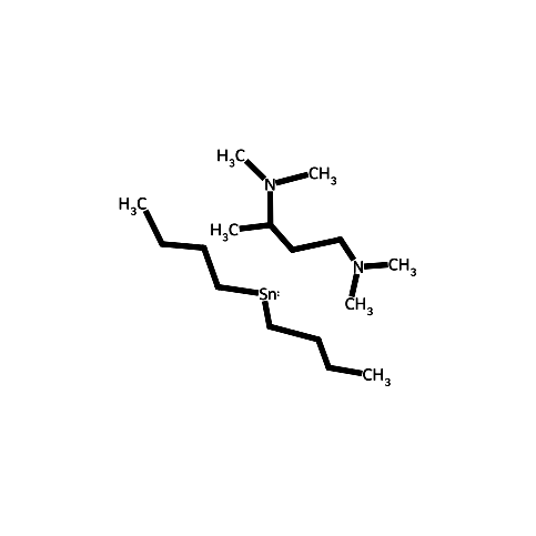 CC(CCN(C)C)N(C)C.CCC[CH2][Sn][CH2]CCC